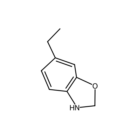 CCc1ccc2c(c1)OCN2